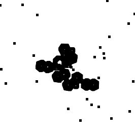 C/C1=C(\c2cccc3oc4ccccc4c23)NC(c2ccc(-c3cccc4oc5c(-c6ccc7ccccc7c6)cccc5c34)c3ccccc23)NC(c2ccc3ccccc3c2)CC1